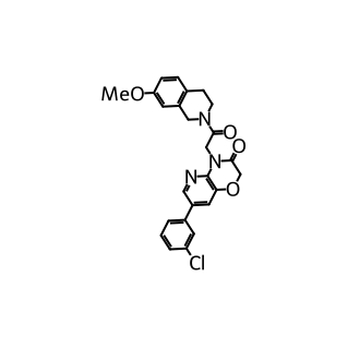 COc1ccc2c(c1)CN(C(=O)CN1C(=O)COc3cc(-c4cccc(Cl)c4)cnc31)CC2